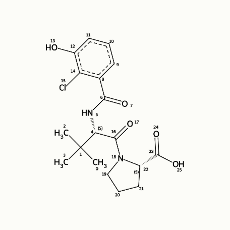 CC(C)(C)[C@H](NC(=O)c1cccc(O)c1Cl)C(=O)N1CCC[C@H]1C(=O)O